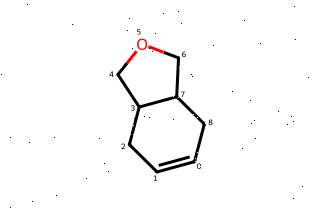 C1=CCC2COCC2C1